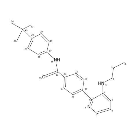 CCCNc1cccnc1-c1ccc(C(=O)Nc2ccc(C(C)(C)C)cc2)cc1